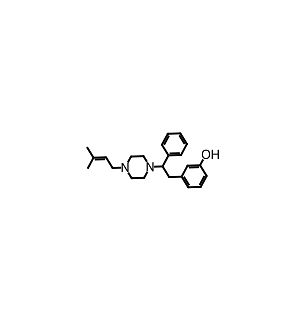 CC(C)=CCN1CCN(C(Cc2cccc(O)c2)c2ccccc2)CC1